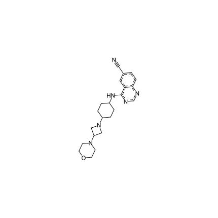 N#Cc1ccc2ncnc(NC3CCC(N4CC(N5CCOCC5)C4)CC3)c2c1